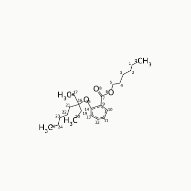 CCCCCCOC(=O)c1ccccc1OC(CC)(CC)CCCCC